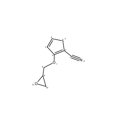 N#Cc1sccc1OCC1CO1